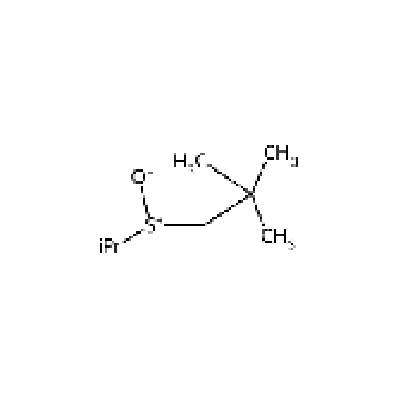 CC(C)[S+]([O-])CC(C)(C)C